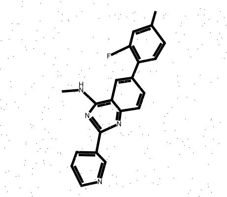 CNc1nc(-c2cccnc2)nc2ccc(-c3ccc(C)cc3F)cc12